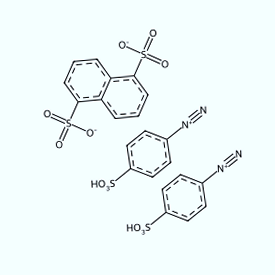 N#[N+]c1ccc(S(=O)(=O)O)cc1.N#[N+]c1ccc(S(=O)(=O)O)cc1.O=S(=O)([O-])c1cccc2c(S(=O)(=O)[O-])cccc12